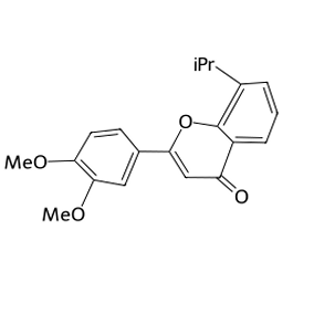 COc1ccc(-c2cc(=O)c3cccc(C(C)C)c3o2)cc1OC